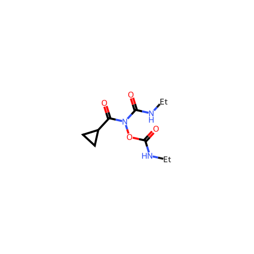 CCNC(=O)ON(C(=O)NCC)C(=O)C1CC1